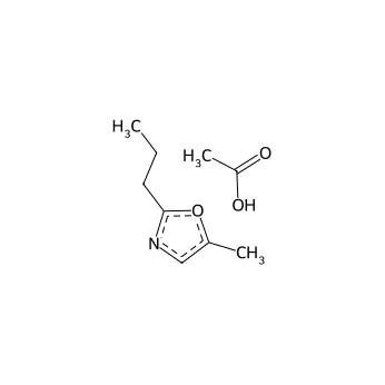 CC(=O)O.CCCc1ncc(C)o1